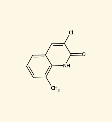 Cc1cccc2cc(Cl)c(=O)[nH]c12